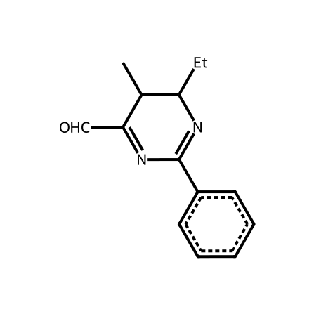 CCC1N=C(c2ccccc2)N=C(C=O)C1C